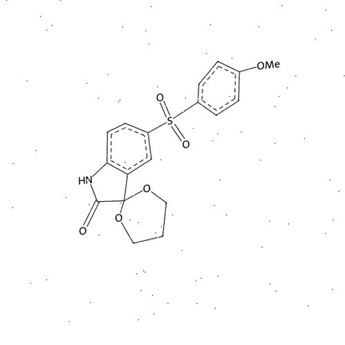 COc1ccc(S(=O)(=O)c2ccc3c(c2)C2(OCCCO2)C(=O)N3)cc1